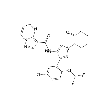 O=C(Nc1cn(C2CCCCC2=O)nc1-c1cc(Cl)ccc1OC(F)F)c1cnn2cccnc12